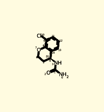 NC(=O)N[C@H]1CCOc2c(Cl)cccc21